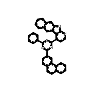 c1ccc(-c2nc(-c3ccc4ccc5ccccc5c4c3)nc(-c3ccnc4oc5cc6ccccc6cc5c34)n2)cc1